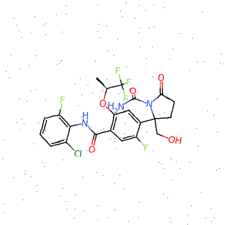 C[C@H](Oc1cc(C2(CO)CCC(=O)N2C(N)=O)c(F)cc1C(=O)Nc1c(F)cccc1Cl)C(F)(F)F